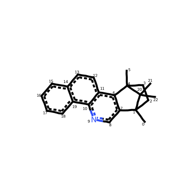 CC12CCC(C)(c3c1cnc1c3ccc3ccccc31)C2(C)C